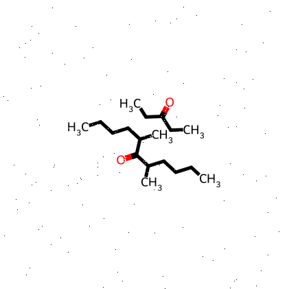 CCC(=O)CC.CCCCC(C)C(=O)C(C)CCCC